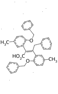 Cc1ccc(OCc2ccccc2)c(C(Cc2ccccc2)=C(C(=O)O)c2cc(C)ccc2OCc2ccccc2)c1